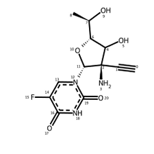 C#C[C@@]1(N)C(O)[C@@H]([C@@H](C)O)O[C@H]1n1cc(F)c(=O)[nH]c1=O